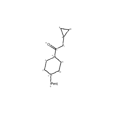 CCCC(C)N1CCN(C(=O)CC2CC2)CC1